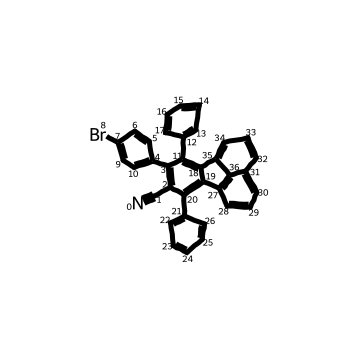 N#Cc1c(-c2ccc(Br)cc2)c(-c2ccccc2)c2c(c1-c1ccccc1)-c1cccc3cccc-2c13